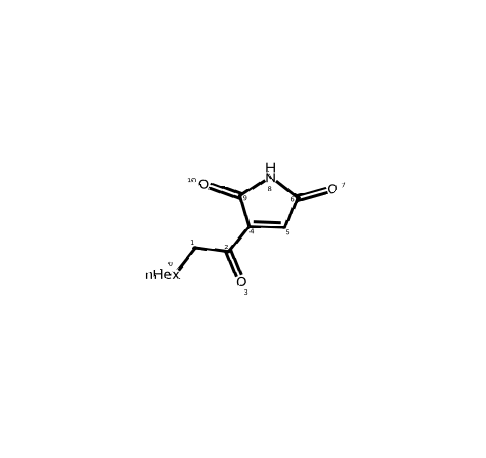 CCCCCCCC(=O)C1=CC(=O)NC1=O